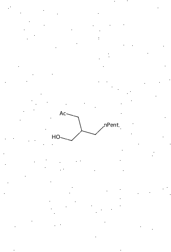 CCCCCCC(CO)CC(C)=O